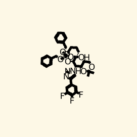 CC1(C)OC[C@H]2O[C@@]3(CCCCO3)[C@H](OP(=O)(OCc3ccccc3)OCc3ccccc3)[C@@H](n3cc(-c4cc(F)c(F)c(F)c4)nn3)[C@H]2O1